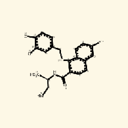 CC(C)(C)C[C@H](NC(=O)c1ccc2cc(F)ccc2c1OCc1ccc(Cl)c(Cl)c1)C(=O)O